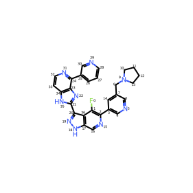 Fc1c(-c2cncc(CN3CCCC3)c2)ncc2[nH]nc(-c3nc4c(-c5cccnc5)nccc4[nH]3)c12